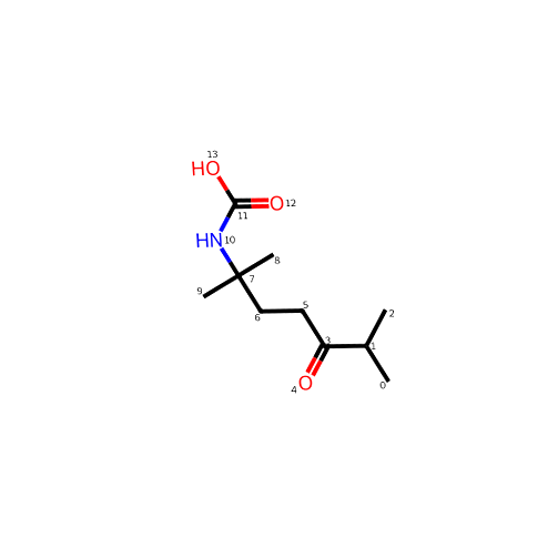 CC(C)C(=O)CCC(C)(C)NC(=O)O